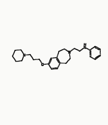 c1ccc(NCCN2CCc3ccc(OCCCN4CCCCC4)cc3CC2)cc1